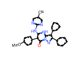 COc1ccc(-c2c(Nc3ncc(C#N)cn3)[nH]c3c(-c4ccccc4)c(-c4ccccc4)nn3c2=O)cc1